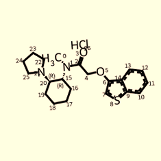 CN(C(=O)COc1csc2ccccc12)[C@@H]1CCCC[C@H]1N1CCCC1.Cl